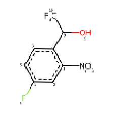 O=[N+]([O-])c1cc(F)ccc1C(O)C(F)(F)F